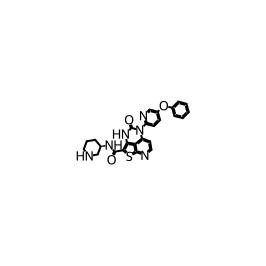 O=C(N[C@@H]1CCCNC1)c1sc2nccc3c2c1NC(=O)N3c1ccc(Oc2ccccc2)cn1